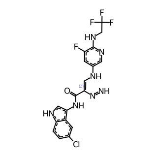 N=N/C(=C\Nc1cnc(NCC(F)(F)F)c(F)c1)C(=O)Nc1c[nH]c2ccc(Cl)cc12